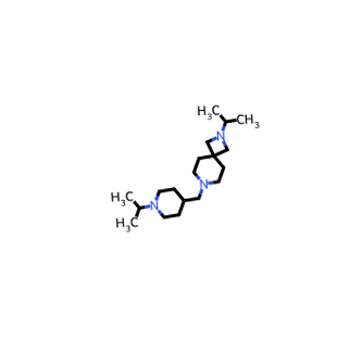 CC(C)N1CCC(CN2CCC3(CC2)CN(C(C)C)C3)CC1